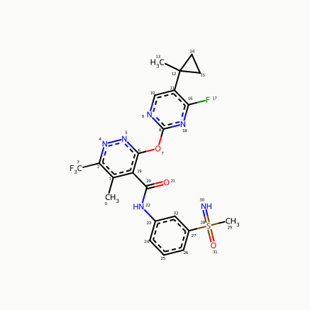 Cc1c(C(F)(F)F)nnc(Oc2ncc(C3(C)CC3)c(F)n2)c1C(=O)Nc1cccc(S(C)(=N)=O)c1